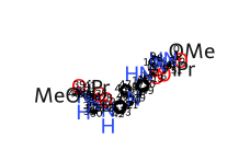 COC(=O)N[C@H](C(=O)N1CCC[C@H]1C(=O)Nc1ccc(CN(Cc2ccc(NC(=O)[C@@H]3CCCN3C(=O)[C@@H](NC(=O)OC)C(C)C)cc2)C2CCCC2)cc1)C(C)C